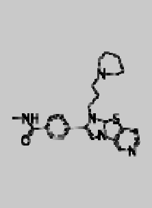 CNC(=O)c1ccc(C2=CN3c4cnccc4SC3N2CCCN2CCCCC2)cc1